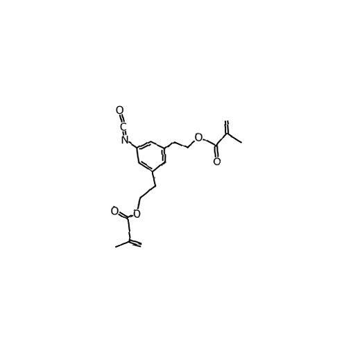 C=C(C)C(=O)OCCc1cc(CCOC(=O)C(=C)C)cc(N=C=O)c1